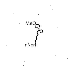 CCCCCCCCCCCCCCCC(=O)N1CC[C@H](OC)C1